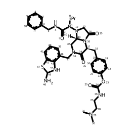 CCCN(C(=O)NCc1ccccc1)N1CC(=O)N2[C@@H](Cc3ccc(OC(=O)NCCN(C)C)cc3)C(=O)N(Cc3cccc4c3NC(N)S4)C[C@@H]21